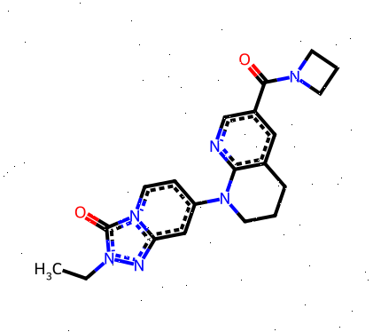 CCn1nc2cc(N3CCCc4cc(C(=O)N5CCC5)cnc43)ccn2c1=O